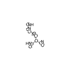 C1=CNC(c2ccc3ccc(-c4ccc5ccc(-c6cc(C7=Cc8ccccc8NC7)cc(-c7cnc8ccccc8c7)c6)cc5n4)cc3n2)C=C1